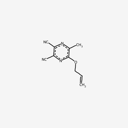 C=CCOc1nc(C#N)c(C#N)nc1C